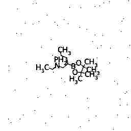 CC/C=C(\CN(P)CC)B1OC(C)(C)C(C)(C)O1